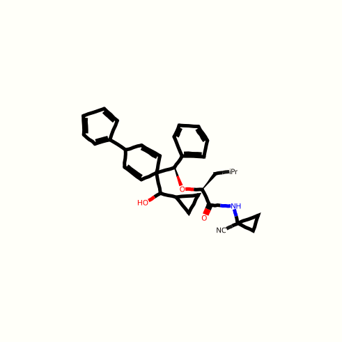 CC(C)C[C@H](O[C@H](c1ccccc1)C1(C(O)C2CC2)C=CC(c2ccccc2)C=C1)C(=O)NC1(C#N)CC1